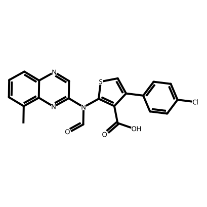 Cc1cccc2ncc(N(C=O)c3scc(-c4ccc(Cl)cc4)c3C(=O)O)nc12